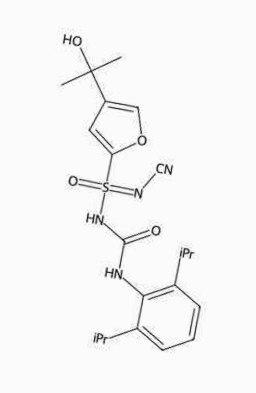 CC(C)c1cccc(C(C)C)c1NC(=O)NS(=O)(=NC#N)c1cc(C(C)(C)O)co1